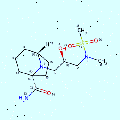 CN(C[C@H](O)CN1[C@@H]2C[CH]C[C@]1(C(N)=O)CC2)S(C)(=O)=O